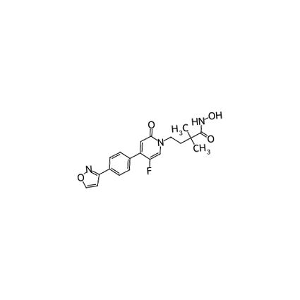 CC(C)(CCn1cc(F)c(-c2ccc(-c3ccon3)cc2)cc1=O)C(=O)NO